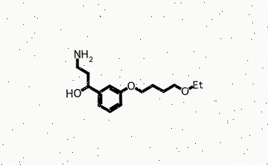 CCOCCCCOc1cccc(C(O)CCN)c1